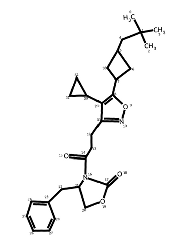 CC(C)(C)CC1CC(c2onc(CCC(=O)N3C(=O)OCC3Cc3ccccc3)c2C2CC2)C1